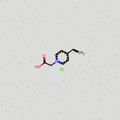 C=Cc1cc[n+](CC(=O)O)cc1.[Cl-]